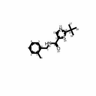 Cc1ccccc1CNC(=O)c1cnc(C(C)(C)C)s1